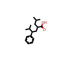 CC(C)CC(CC(c1ccccc1)C(C)C)C(=O)O